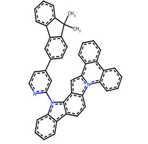 CC1(C)c2ccccc2-c2cc(-c3ccnc(-n4c5ccccc5c5ccc6c(cc7c8ccccc8c8ccccc8n76)c54)c3)ccc21